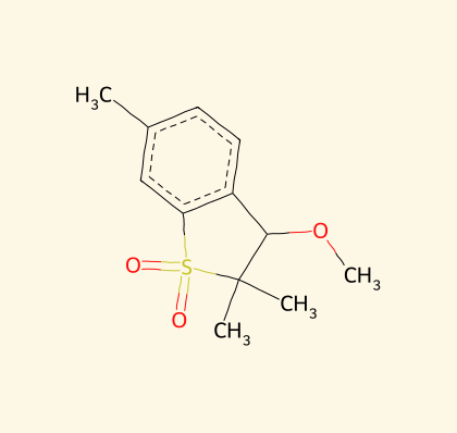 COC1c2ccc(C)cc2S(=O)(=O)C1(C)C